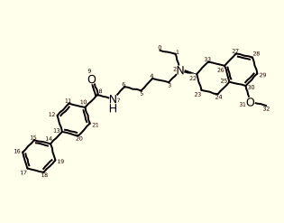 CCN(CCCCNC(=O)c1ccc(-c2ccccc2)cc1)[C@@H]1CCc2c(cccc2OC)C1